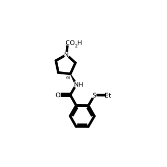 CCSc1ccccc1C(=O)N[C@H]1CCN(C(=O)O)C1